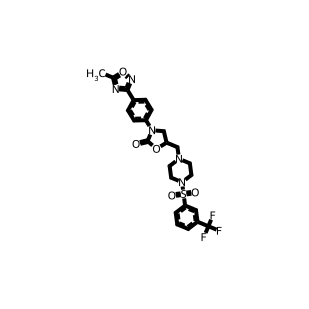 Cc1nc(-c2ccc(N3CC(CN4CCN(S(=O)(=O)c5cccc(C(F)(F)F)c5)CC4)OC3=O)cc2)no1